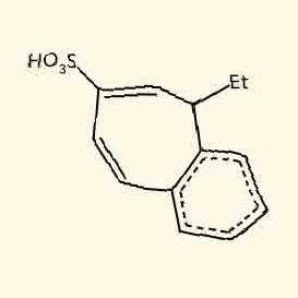 CCC1C=C(S(=O)(=O)O)C=Cc2ccccc21